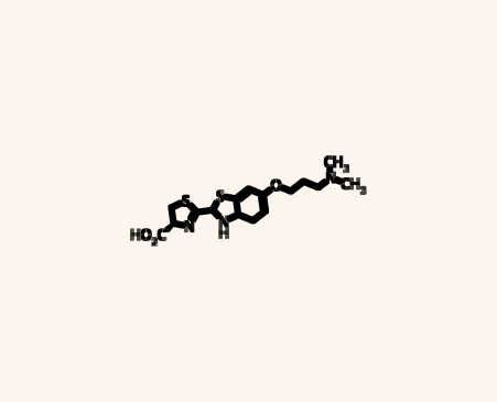 CN(C)CCCOC1=CCC2NC(C3=N[C@@H](C(=O)O)CS3)SC2=C1